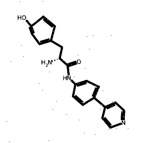 N[C@H](Cc1ccc(O)cc1)C(=O)Nc1ccc(-c2ccncc2)cc1